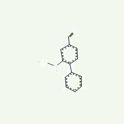 CNc1cc(C=O)ccc1-c1ccccc1